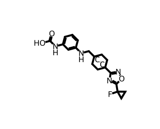 O=C(O)Nc1cccc(NCC23CCC(c4noc(C5(F)CC5)n4)(CC2)CC3)c1